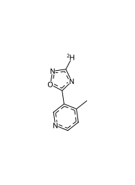 [2H]c1noc(-c2cnccc2C)n1